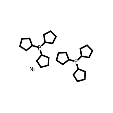 C1CCC(P(C2CCCC2)C2CCCC2)C1.C1CCC(P(C2CCCC2)C2CCCC2)C1.[Ni]